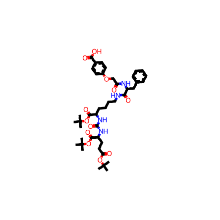 CC(C)(C)OC(=O)CCC(NC(=O)NC(CCCCNC(=O)C(Cc1ccccc1)NC(=O)COc1ccc(C(=O)O)cc1)C(=O)OC(C)(C)C)C(=O)OC(C)(C)C